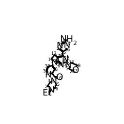 CCN1CCN(C(=O)c2cc(N3CCc4c(-c5cnc(N)nc5)nc(N5CCOCC5)nc43)ccn2)CC1